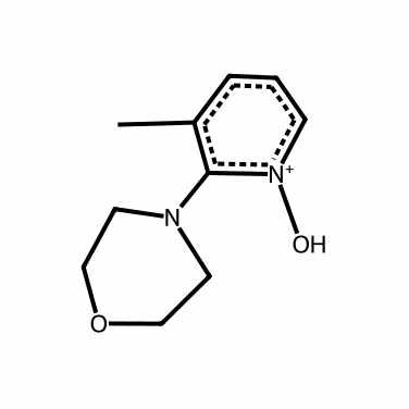 Cc1ccc[n+](O)c1N1CCOCC1